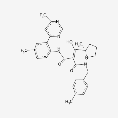 Cc1ccc(CN2C(=O)C(C(=O)Nc3ccc(C(F)(F)F)cc3-c3cc(C(F)(F)F)ncn3)=C(O)[C@@]3(C)CCCN23)cc1